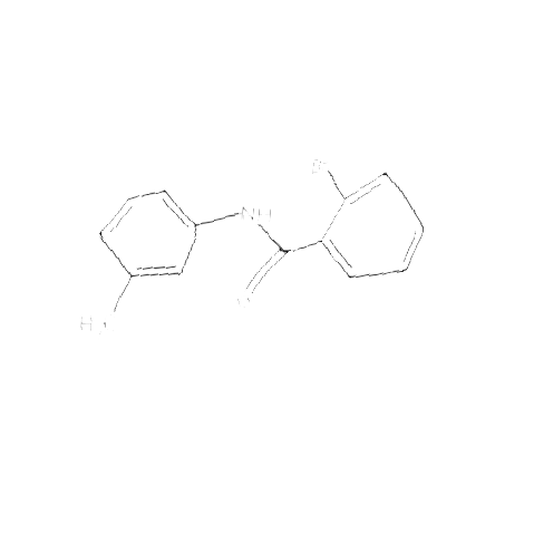 Cc1cccc(NC(=O)c2ccccc2Br)c1